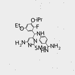 CCOc1cc(OC(C)C)c(F)c(C(Nc2ccc(C(=N)N)cc2)c2cc(N)nc(SC)n2)c1